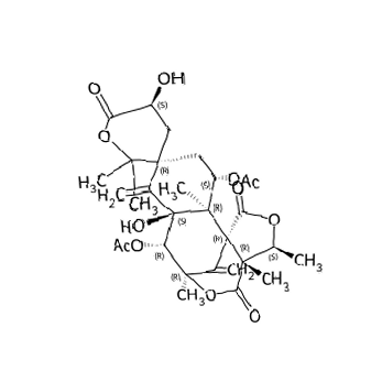 C=C1[C@]2(C[C@H](OC(C)=O)[C@@]3(C)[C@]45C(=C)[C@@](C)(OC(=O)[C@@]4(C)[C@H](C)OC5=O)[C@H](OC(C)=O)[C@]13O)C[C@H](O)C(=O)OC2(C)C